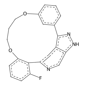 Fc1cccc2c1-c1cc3c(n[nH]c3cn1)-c1cccc(c1)OCCCO2